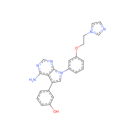 Nc1ncnc2c1c(-c1cccc(O)c1)cn2-c1cccc(OCCn2ccnc2)c1